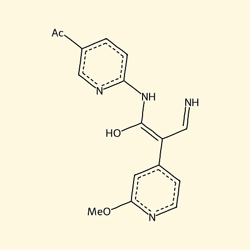 COc1cc(/C(C=N)=C(\O)Nc2ccc(C(C)=O)cn2)ccn1